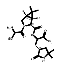 CC1(C)C[C@@H](CC(NC(=O)[C@@H]2[C@@H]3[C@H](CN2C(=O)C(N)C(C)(C)C)C3(C)C)C(N)=O)C(=O)N1